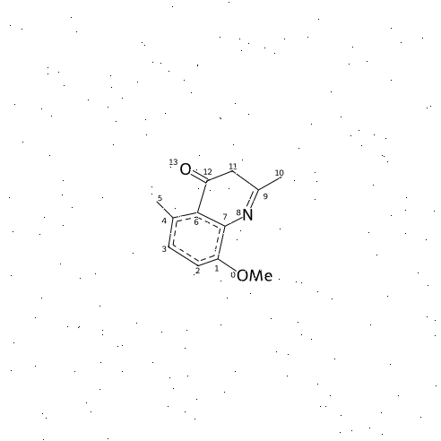 COc1ccc(C)c2c1N=C(C)CC2=O